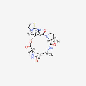 CC(C)[C@H]1CCN2C(=O)[C@@H](Nc3nccs3)C(C)(C)COC(=O)[C@@H]3C[C@@H](C[C@@H](C#N)NC(=O)[C@H]12)C(=O)N3